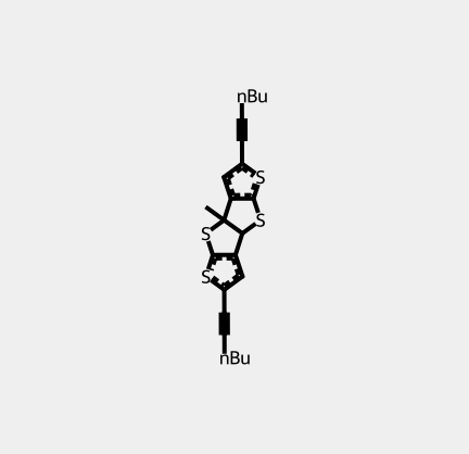 CCCCC#Cc1cc2c(s1)SC1(C)c3cc(C#CCCCC)sc3SC21